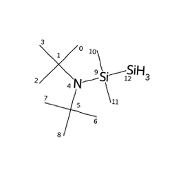 CC(C)(C)N(C(C)(C)C)[Si](C)(C)[SiH3]